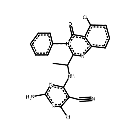 CC(Nc1nc(N)nc(Cl)c1C#N)c1nc2cccc(Cl)c2c(=O)n1-c1ccccc1